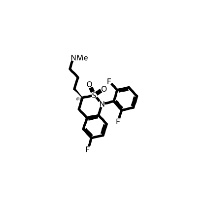 CNCCC[C@@H]1Cc2cc(F)ccc2N(c2c(F)cccc2F)S1(=O)=O